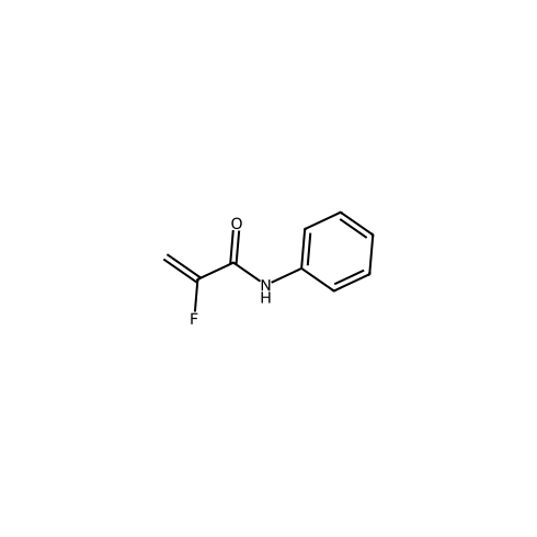 C=C(F)C(=O)Nc1ccccc1